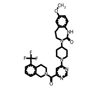 COc1ccc2c(c1)CCN(C1CCN(c3cc(C(=O)N4CCc5c(cccc5C(F)(F)F)C4)ncn3)CC1)C(=O)N2